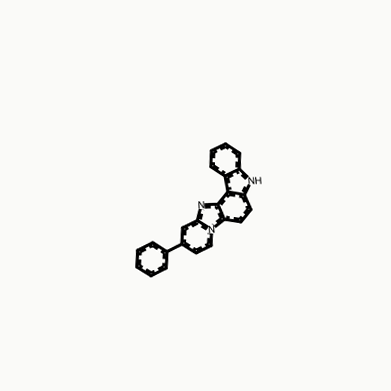 c1ccc(-c2ccn3c(c2)nc2c4c(ccc23)[nH]c2ccccc24)cc1